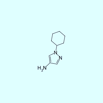 Nc1cnn(C2CCCCC2)c1